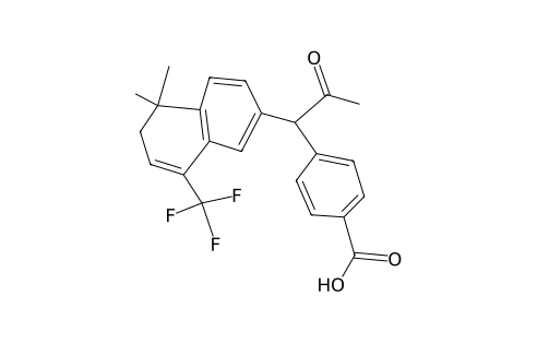 CC(=O)C(c1ccc(C(=O)O)cc1)c1ccc2c(c1)C(C(F)(F)F)=CCC2(C)C